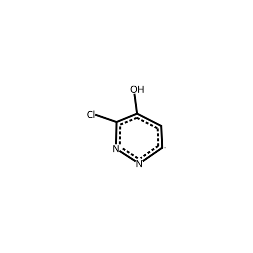 Oc1c[c]nnc1Cl